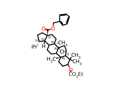 CCOC(=O)OC1CC[C@@]2(C)C(CC[C@]3(C)C2CCC2[C@@H]4[C@H](C(C)C)CC[C@]4(C(=O)OCc4ccccc4)CC[C@]23C)C1(C)C